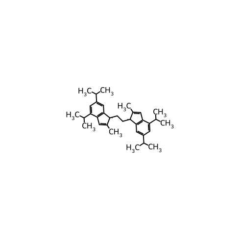 CC1=Cc2c(cc(C(C)C)cc2C(C)C)[C]1CC[C]1C(C)=Cc2c1cc(C(C)C)cc2C(C)C